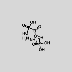 N.N.O=P(O)(O)O.O=[N+]([O-])P(=O)(O)O